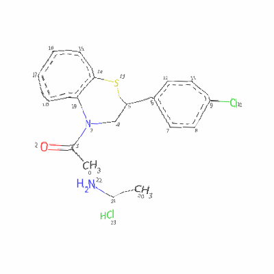 CC(=O)N1CC(c2ccc(Cl)cc2)Sc2ccccc21.CCN.Cl